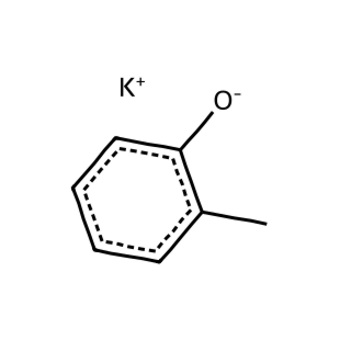 Cc1ccccc1[O-].[K+]